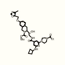 CCC(=O)N1CCN(c2cc(C(=O)NC[C@@H](O)C3Cc4ccc(OCc5ocnc5C)cc4CN3C(=O)OC(C)(C)C)cc(NC3CCC3)n2)CC1